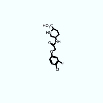 O=C(COc1ccc(Cl)c(F)c1)NC1CCC(C(=O)O)NC1